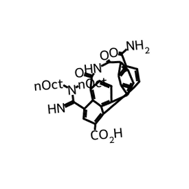 CCCCCCCCN(CCCCCCCC)C(=N)c1cc(C(=O)O)c2c3ccc(C(N)=O)c4c5ccc(c6ccc(c(=O)[nH]c5=O)c1c62)c34